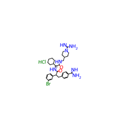 Cl.N=C(N)c1ccc(CC(C(=O)N[C@H](C(=O)NCC2CCN(C(=N)N)CC2)C2CCCCC2)c2cccc(Br)c2)cc1